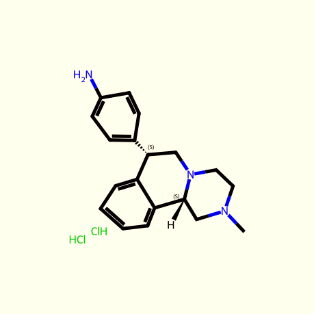 CN1CCN2C[C@@H](c3ccc(N)cc3)c3ccccc3[C@H]2C1.Cl.Cl